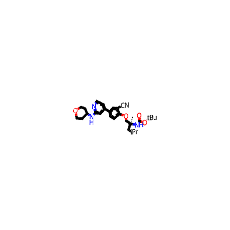 CC(C)C[C@@](C)(COc1ccc(-c2ccnc(NC3CCOCC3)c2)cc1C#N)NC(=O)OC(C)(C)C